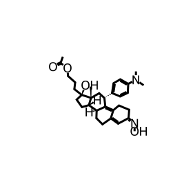 CC(=O)OCCC[C@@]1(O)CC[C@H]2[C@@H]3CCC4=CC(=NO)CCC4=C3[C@@H](c3ccc(N(C)C)cc3)C[C@]21C